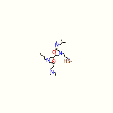 CCCCN1CC(C2CN(CC/C=[SH]/C)C[C@@H](CN(C)CC(C)C)O2)O[C@@H](CCN(C)CC)C1